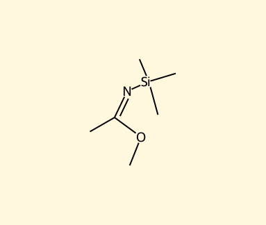 CO/C(C)=N\[Si](C)(C)C